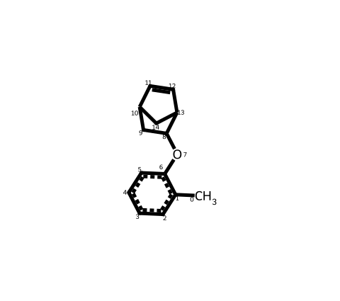 Cc1ccccc1OC1CC2C=CC1C2